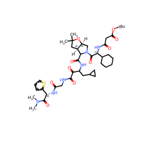 CN(C)C(=O)[C@@H](NC(=O)CNC(=O)C(=O)C(CC1CC1)NC(=O)C1[C@H]2CC(C)(C)O[C@H]2CN1C(=O)[C@@H](NC(=O)CC(=O)OC(C)(C)C)C1CCCCC1)c1cccs1